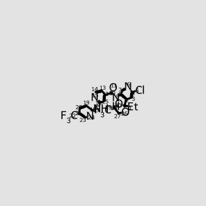 CCC1(c2cc(Cl)ncc2NC(=O)c2ccnc(Nc3ccc(C(F)(F)F)cn3)c2)OC[C@H](C(F)(F)F)O1